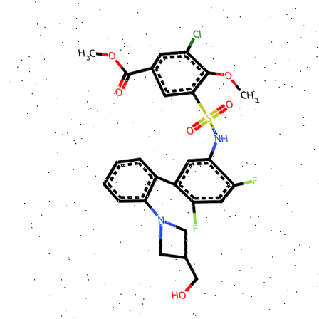 COC(=O)c1cc(Cl)c(OC)c(S(=O)(=O)Nc2cc(-c3ccccc3N3CC(CO)C3)c(F)cc2F)c1